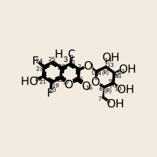 Cc1c(O[C@@H]2O[C@H](CO)[C@H](O)[C@H](O)[C@H]2O)c(=O)oc2c(F)c(O)c(F)cc12